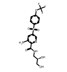 Nc1cc(S(=O)(=O)c2ccc(OC(F)(F)F)cc2)cnc1C(=O)NC[C@@H](O)CO